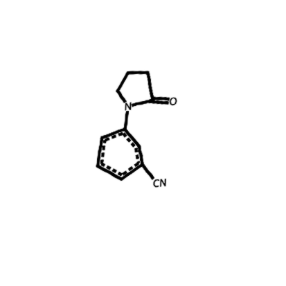 N#Cc1cccc(N2CCCC2=O)c1